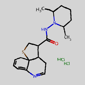 CC1CCCC(C)N1NC(=O)C1CSC23CC=CC=C2N=CCC13.Cl.Cl